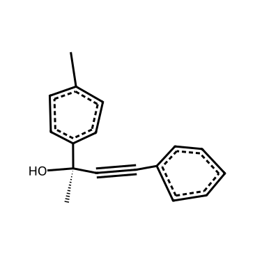 Cc1ccc([C@](C)(O)C#Cc2ccccc2)cc1